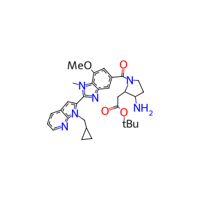 COc1cc(C(=O)N2CCC(N)C2CC(=O)OC(C)(C)C)cc2nc(-c3cc4cccnc4n3CC3CC3)n(C)c12